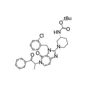 CC(C(=O)c1ccccc1)n1ccc2nc(N3CCC[C@@H](NC(=O)OC(C)(C)C)C3)n(Cc3ccccc3Cl)c2c1=O